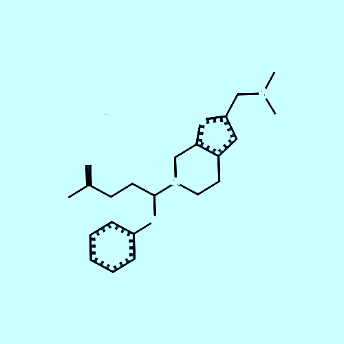 CC(=O)CCC(Sc1ccccc1)N1CCc2cc(CN(C)C)oc2C1.Cl